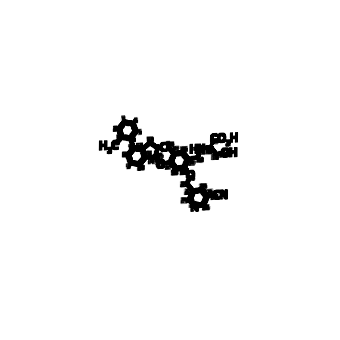 Cc1ccccc1-c1cccc2c1CC[C@@H]2Oc1cc(OCc2cncc(C#N)c2)c(CN[C@@H](CO)C(=O)O)cc1Cl